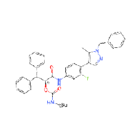 Cc1c(-c2ccc(NC(=O)[C@@H](OC(=O)NC(C)(C)C)C(c3ccccc3)c3ccccc3)cc2F)cnn1Cc1ccccc1